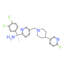 C[C@](N)(c1ccc(F)c(F)c1)c1ccc(CN2CCC(c3ccc(F)nc3)CC2)cn1